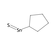 [S]=[Sn][CH]1CCCC1